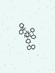 C[Si]1(C)c2ccccc2-c2cccc(-c3nc(-c4ccc(-c5cccc6ccccc56)cc4)nc(-c4ccccc4-c4ccccc4)n3)c21